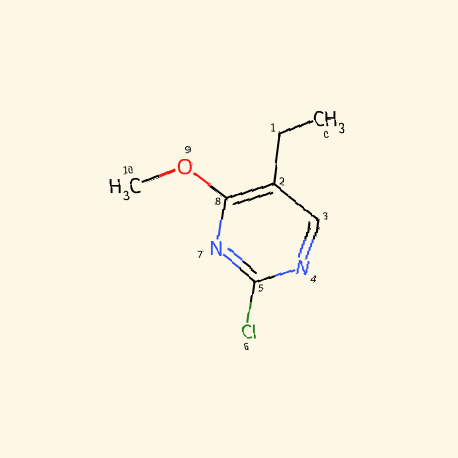 CCc1cnc(Cl)nc1OC